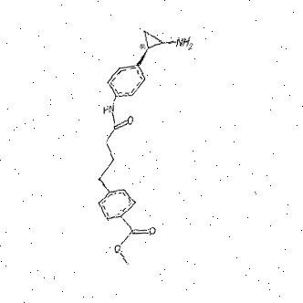 COC(=O)c1ccc(CCCC(=O)Nc2ccc([C@H]3CC3N)cc2)cc1